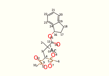 CC(=O)C(C)(CC(S(C)(=O)=O)S(C)(=O)=O)C(=O)OC1CCc2ccccc21